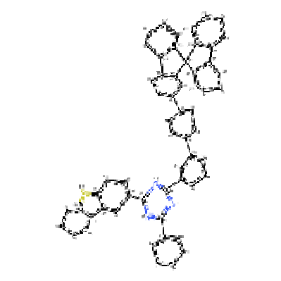 c1ccc(-c2nc(-c3cccc(-c4ccc(-c5ccc6c(c5)C5(c7ccccc7-c7ccccc75)c5ccccc5-6)cc4)c3)nc(-c3ccc4sc5ccccc5c4c3)n2)cc1